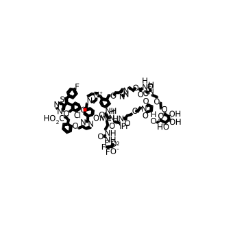 COc1ccccc1-c1nccc(COc2ccccc2C[C@@H](Oc2ncnc3sc(-c4ccc(F)cc4)c(-c4ccc(OCCN5CC[N+](C)(Cc6ccc(NC(=O)[C@H](CCCNC(N)=O)NC(=O)[C@@H](NC(=O)CCOCCN7C(=O)C=CC7=O)C(C)C)cc6COCc6cn(CCOC(=O)NS(=O)(=O)NCCOCCO[C@@H]7O[C@H](CO)[C@@H](O)[C@H](O)[C@H]7O)nn6)CC5)c(Cl)c4C)c23)C(=O)O)n1.O=C([O-])C(F)(F)F